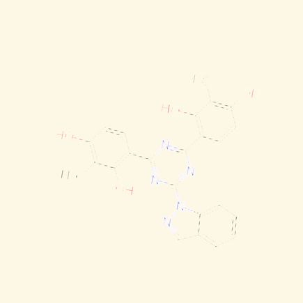 Cc1c(O)ccc(-c2nc(-c3ccc(O)c(C)c3O)nc(-n3ncc4ccccc43)n2)c1O